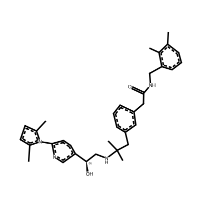 Cc1cccc(CNC(=O)Cc2cccc(CC(C)(C)NC[C@@H](O)c3ccc(-n4c(C)ccc4C)nc3)c2)c1C